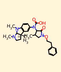 CC1CN(OCCc2ccccc2)C(=O)C1N(C(=O)O)c1ccc2c(c1)[C@]1(C)CCN(C)C1N2C